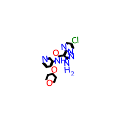 Nc1nn2cc(Cl)cnc2c1C(=O)Nc1cnccc1OC1CCOCC1